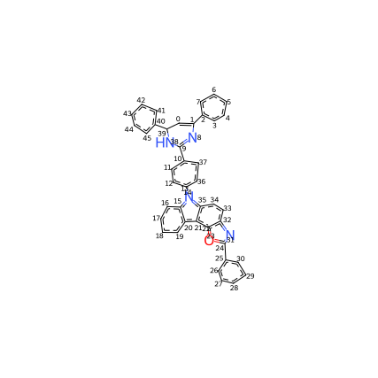 C1=C(c2ccccc2)N=C(c2ccc(-n3c4ccccc4c4c5oc(-c6ccccc6)nc5ccc43)cc2)NC1c1ccccc1